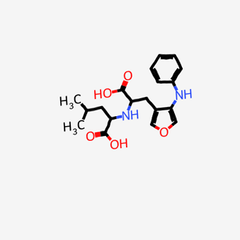 CC(C)CC(NC(Cc1cocc1Nc1ccccc1)C(=O)O)C(=O)O